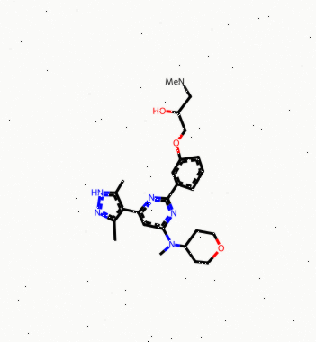 CNCC(O)COc1cccc(-c2nc(-c3c(C)n[nH]c3C)cc(N(C)C3CCOCC3)n2)c1